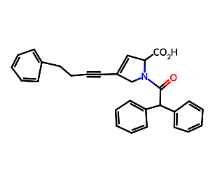 O=C(O)C1C=C(C#CCCc2ccccc2)CN1C(=O)C(c1ccccc1)c1ccccc1